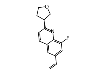 C=Cc1cc(F)c2nc([C@H]3CCOC3)ccc2c1